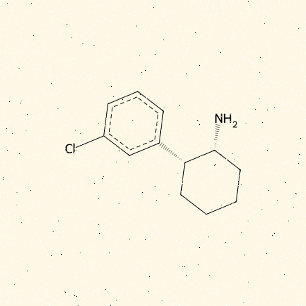 N[C@@H]1CCCC[C@@H]1c1cccc(Cl)c1